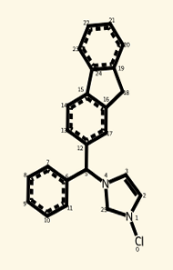 ClN1C=CN(C(c2ccccc2)c2ccc3c(c2)Cc2ccccc2-3)C1